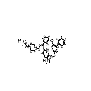 CCc1nc(-c2ccccc2)c(Oc2ccnc(N(CCN3CCN(CC)CC3)c3ccc(N)cn3)c2)s1